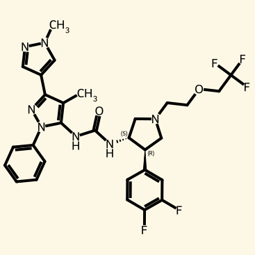 Cc1c(-c2cnn(C)c2)nn(-c2ccccc2)c1NC(=O)N[C@@H]1CN(CCOCC(F)(F)F)C[C@H]1c1ccc(F)c(F)c1